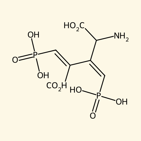 NC(C(=O)O)C(=CP(=O)(O)O)C(=CP(=O)(O)O)C(=O)O